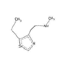 CCc1scnc1CNC